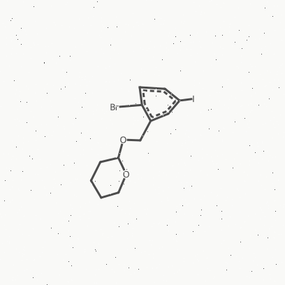 Brc1ccc(I)cc1COC1CCCCO1